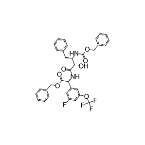 O=C(N[C@H](Cc1ccccc1)[C@H](O)C(=O)N[C@H](C(=O)OCc1ccccc1)c1cc(F)cc(OC(F)(F)F)c1)OCc1ccccc1